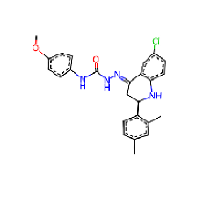 COc1ccc(NC(=O)NN=C2CC(c3ccc(C)cc3C)Nc3ccc(Cl)cc32)cc1